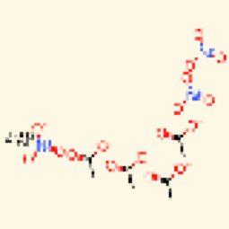 CC(=O)[O-].CC(=O)[O-].CC(=O)[O-].CC(=O)[O-].O=[N+]([O-])[O-].O=[N+]([O-])[O-].O=[N+]([O-])[O-].[Al+3].[Zr+4]